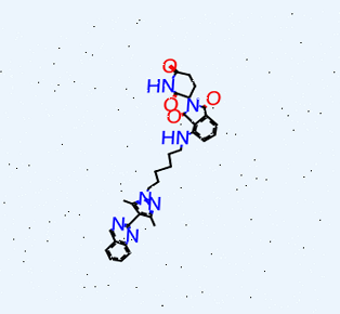 Cc1nn(CCCCCCNc2cccc3c2C(=O)N(C2CCC(=O)NC2=O)C3=O)c(C)c1-c1ncc2ccccc2n1